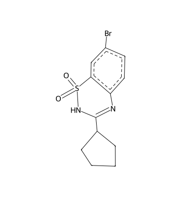 O=S1(=O)NC(C2CCCC2)=Nc2ccc(Br)cc21